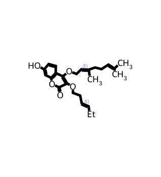 CC/C=C/CCOc1c(OC/C=C(\C)CCC=C(C)C)c2ccc(O)cc2oc1=O